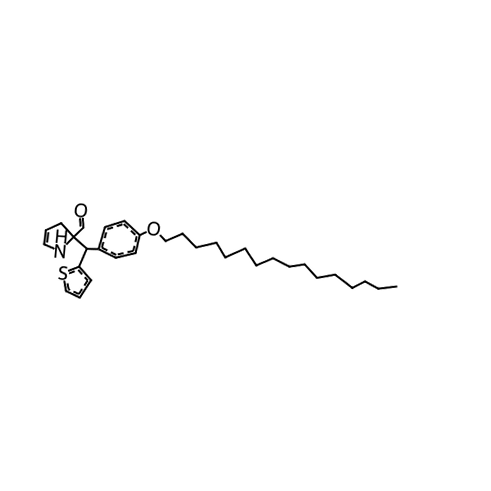 CCCCCCCCCCCCCCCCOc1ccc(C(c2cccs2)C2(C=O)CC=CN2)cc1